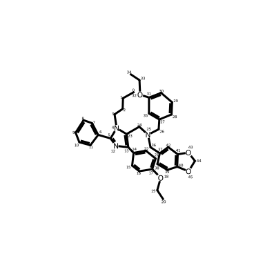 CCCCn1c(-c2ccccc2)nc(-c2ccc(OCC)cc2)c1CN(Cc1cccc(OCC)c1)Cc1ccc2c(c1)OCO2